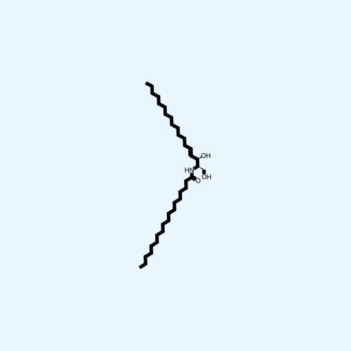 CCCCCCCCCCCCC/C=C/[C@H](O)[C@H](CO)NC(=O)CCCCCCCCCCCCCCCCC